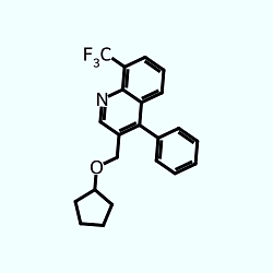 FC(F)(F)c1cccc2c(-c3ccccc3)c(COC3CCCC3)cnc12